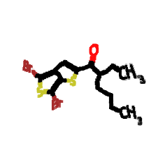 CCCCC(CC)C(=O)c1cc2c(Br)sc(Br)c2s1